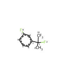 CC(F)(c1cccc(F)c1)C(F)(F)F